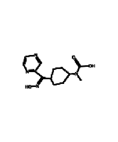 CN(C(=O)O)[C@H]1CC[C@@H](/C(=N/O)c2cnccn2)CC1